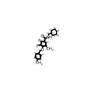 Cc1ccc(COc2c(C)cc(C(=O)NCC3CCCCC3)c(F)c2F)cc1